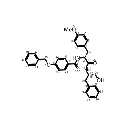 COc1ccc(C[C@H](NC(=O)c2ccc(OCc3ccccc3)cc2)C(=O)N[C@H](CO)Cc2ccccc2)cc1